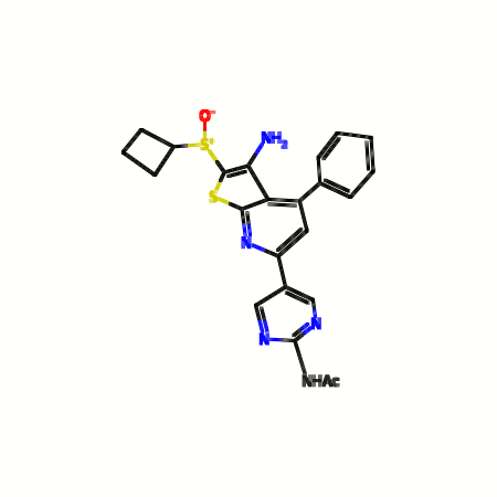 CC(=O)Nc1ncc(-c2cc(-c3ccccc3)c3c(N)c([S+]([O-])C4CCC4)sc3n2)cn1